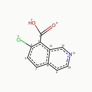 O=C(O)c1c(Cl)ccc2ccncc12